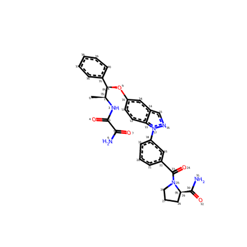 C[C@H](NC(=O)C(N)=O)[C@H](Oc1ccc2c(cnn2-c2cccc(C(=O)N3CCC[C@@H]3C(N)=O)c2)c1)c1ccccc1